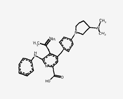 CC(=N)c1c(-c2ccc(N3CCC(N(C)C)C3)cc2)cc(C(=O)O)nc1Nc1ccccc1